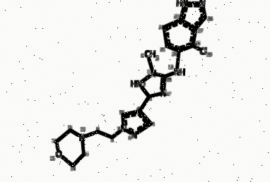 CN1NC(c2cnn(CCN3CCOCC3)c2)N=C1Nc1ccc2[nH]ncc2c1Cl